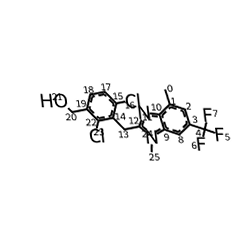 Cc1cc(C(F)(F)F)cc2c1nc(Cc1c(Cl)ccc(CO)c1Cl)n2C